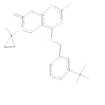 Cc1nc(NCc2cccc(C(C)(F)F)c2)c2cn(C3(C)CC3)c(=O)cc2n1